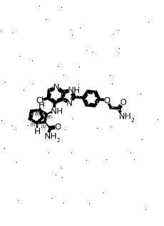 NC(=O)COc1ccc(-c2nc3c(N[C@H]4[C@@H](C(N)=O)[C@@H]5C=C[C@H]4C5)c(Cl)cnc3[nH]2)cc1